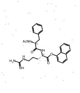 CC(=O)N[C@@H](Cc1ccccc1)C(=O)N[C@@H](CCCNC(=N)N)C(=O)Oc1cccc2ccccc12